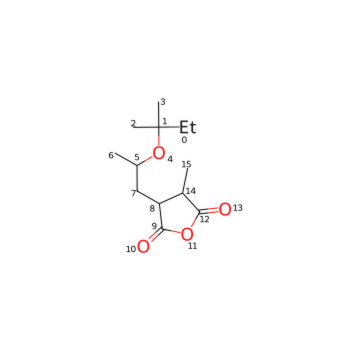 CCC(C)(C)OC(C)CC1C(=O)OC(=O)C1C